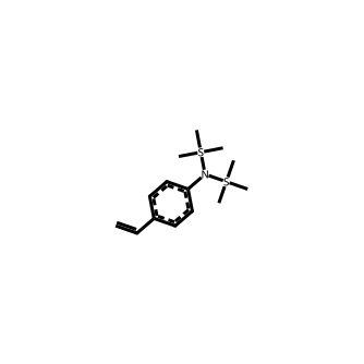 C=Cc1ccc(N(S(C)(C)C)S(C)(C)C)cc1